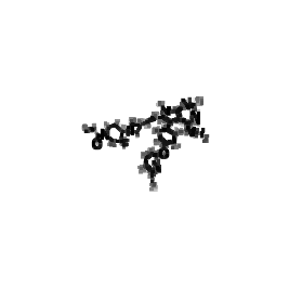 C=CC(=O)N1CCC(N2CC(C#Cc3c(-c4ccc(Oc5cccc(C)n5)cc4)c4c(N)ncnc4n3C)C2)C(F)C1